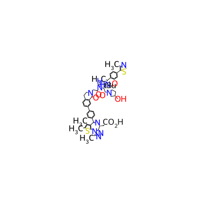 Cc1ncsc1-c1ccc([C@H](C)NC(=O)[C@@H]2C[C@@H](O)CN2C(=O)[C@@H](NC(=O)CN2CCc3ccc(-c4ccc(C5=N[C@@H](CC(=O)O)c6nnc(C)n6-c6sc(C)c(C)c65)cc4)cc3C2=O)C(C)(C)C)cc1